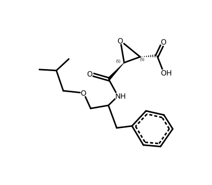 CC(C)COCC(Cc1ccccc1)NC(=O)[C@H]1O[C@@H]1C(=O)O